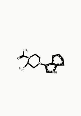 CC(=O)N1CCN(c2c[nH]c3ccccc23)CC1C